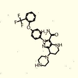 NC(=O)c1c2c(nn1-c1ccc(Oc3ccccc3C(F)(F)F)cc1)C(N1CCNCC1)CCN2